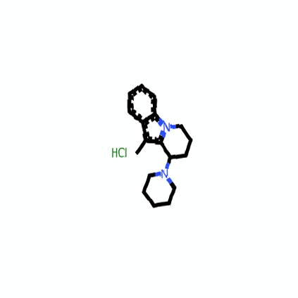 Cc1c2n(c3ccccc13)CCCC2N1CCCCC1.Cl